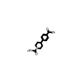 CCCC(=O)N1CCC(c2ccc(C(=O)C(C)C)cc2)CC1